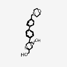 OCC1=NCC(c2ccc(-c3ccc(CN4CCOCC4)cc3)cc2)N(O)C1